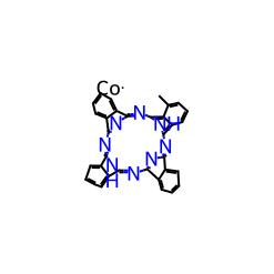 Cc1cccc2c3nc4nc(nc5[nH]c(nc6nc(nc([nH]3)c12)-c1ccccc1-6)c1ccccc51)-c1ccccc1-4.[Co]